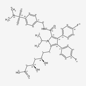 CC(C)n1c(CC[C@@H](O)C[C@@H](O)CC(=O)O)c(-c2ccc(F)cc2)c(-c2ccc(F)cc2)c1C(=O)NCc1ccc(S(=O)(=O)N(C)C)cc1